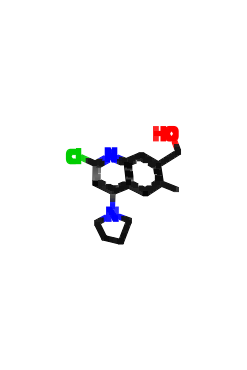 Cc1cc2c(N3CCCC3)cc(Cl)nc2cc1CO